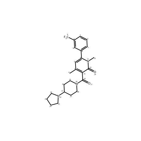 Cc1cc(-c2cccc(C(F)(F)F)c2)n(C)c(=O)c1C(=O)N1CCC(N2CCCC2)CC1